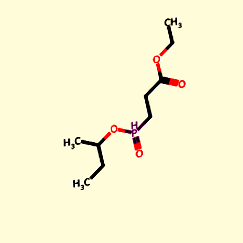 CCOC(=O)CC[PH](=O)OC(C)CC